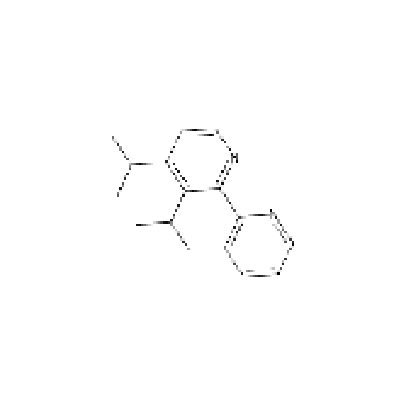 CC(C)c1ccnc(-c2ccccn2)c1C(C)C